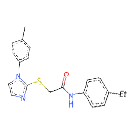 CCc1ccc(NC(=O)CSc2nccn2-c2ccc(C)cc2)cc1